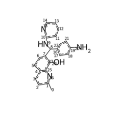 Cc1ccc2ccc(C(Nc3ccccn3)c3ccc(N)cc3)c(O)c2n1